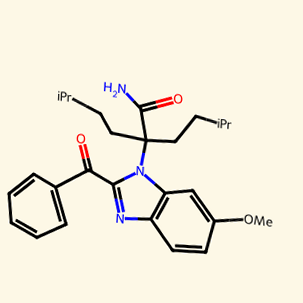 COc1ccc2nc(C(=O)c3ccccc3)n(C(CCC(C)C)(CCC(C)C)C(N)=O)c2c1